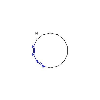 C1CCCCCN=NN=NCCCC1.[Ni]